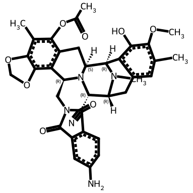 COc1c(C)cc2c(c1O)[C@@H]1[C@@H]3Cc4c(OC(C)=O)c(C)c5c(c4[C@H](CN4C(=O)c6ccc(N)cc6C4=O)N3[C@@H](C#N)[C@@H](C2)N1C)OCO5